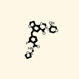 O=C(NC[C@H]1CCCO1)c1ccc(Cc2cc3c(c4c2OCC4)OCN([C@H]2CCOC[C@@H]2O)C3=O)cc1F